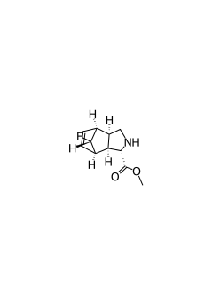 COC(=O)[C@H]1NC[C@@H]2[C@@H]3C=C[C@@H]([C@@H]3F)[C@@H]21